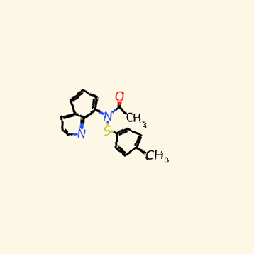 CC(=O)N(Sc1ccc(C)cc1)c1cccc2cccnc12